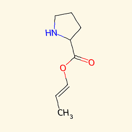 CC=COC(=O)C1CCCN1